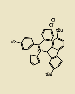 CCc1ccc(/[C](c2ccccc2)=[Zr+2](\[C]2=CC=CC2)[CH]2c3cc(C(C)(C)C)ccc3-c3ccc(C(C)(C)C)cc32)cc1.[Cl-].[Cl-]